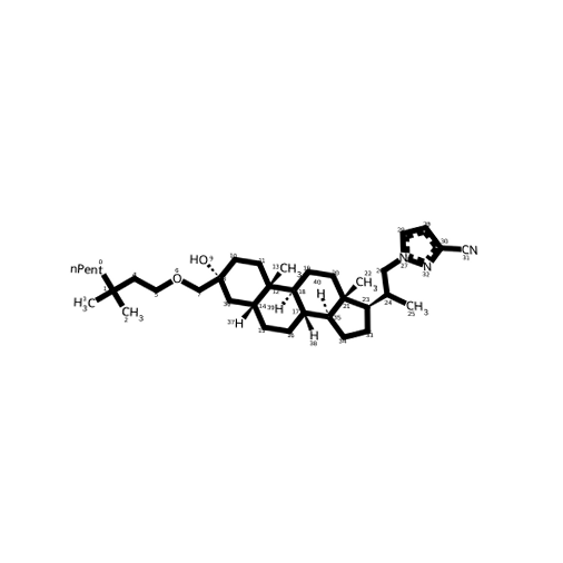 CCCCCC(C)(C)CCOC[C@@]1(O)CC[C@@]2(C)[C@H](CC[C@@H]3[C@@H]2CC[C@]2(C)[C@@H](C(C)Cn4ccc(C#N)n4)CC[C@@H]32)C1